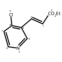 CCOC(=O)/C=C/c1cnccc1Cl